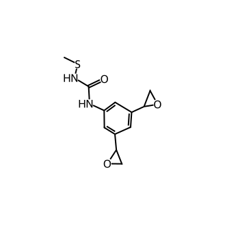 CSNC(=O)Nc1cc(C2CO2)cc(C2CO2)c1